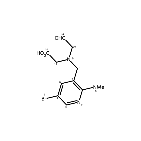 CNc1ncc(Br)cc1CN(CC=O)CC(=O)O